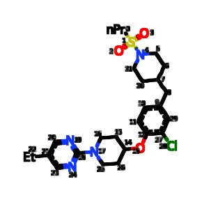 CCCS(=O)(=O)N1CCC(Cc2ccc(OC3CCN(c4ncc(CC)cn4)CC3)c(Cl)c2)CC1